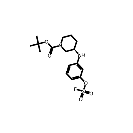 CC(C)(C)OC(=O)N1CCC[C@@H](Nc2cccc(OS(=O)(=O)F)c2)C1